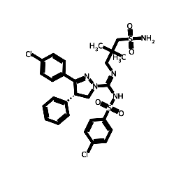 CC(C)(C/N=C(/NS(=O)(=O)c1ccc(Cl)cc1)N1C[C@H](c2ccccc2)C(c2ccc(Cl)cc2)=N1)CS(N)(=O)=O